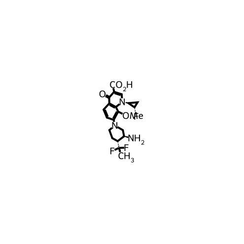 COc1c(N2CC[C@@H](C(C)(F)F)[C@H](N)C2)ccc2c(=O)c(C(=O)O)cn([C@@H]3C[C@@H]3F)c12